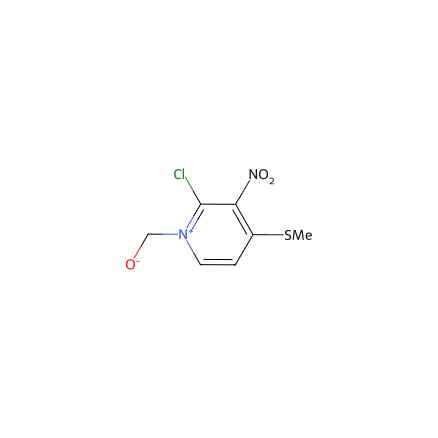 CSc1cc[n+](C[O-])c(Cl)c1[N+](=O)[O-]